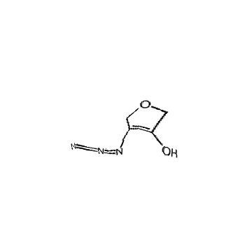 [N-]=[N+]=NC1=C(O)COC1